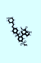 CCS(=O)(=O)c1ccc(C(F)(F)c2ccc(CCC3CCNCC3)cc2)c(-c2cn(C)c(=O)c3[nH]ccc23)c1